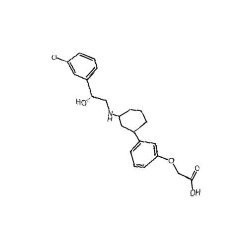 O=C(O)COc1cccc(C2CCCC(NC[C@H](O)c3cccc(Cl)c3)C2)c1